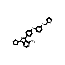 Nc1ncnc2c1c(-c1ccc(Oc3cccc(OCc4cccs4)c3)cc1)nn2C1CCCC1